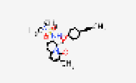 CC#CC1CCC(OC[C@H]2[C@@H](NS(=O)(=O)N(C)C)CCc3ccc(C)c(=O)n32)CC1